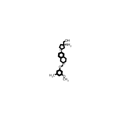 COc1cc(C)cc(OC[C@@H]2CCc3cc([C@H]4CC[C@](N)(CO)C4)ccc3C2)c1